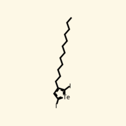 CCCCCCCCCCCCc1cc(I)[te]c1I